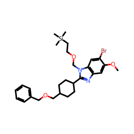 COc1cc2nc(C3CCC(COCc4ccccc4)CC3)n(COCC[Si](C)(C)C)c2cc1Br